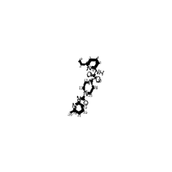 CCc1cccc(NS(=O)(=O)N2CCN(c3nc4nc(C)ccc4o3)CC2)n1